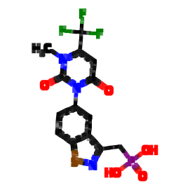 Cn1c(C(F)(F)F)cc(=O)n(-c2ccc3snc(CP(=O)(O)O)c3c2)c1=O